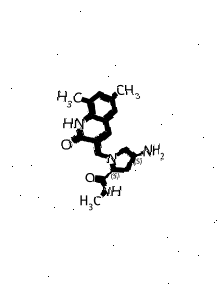 CNC(=O)[C@@H]1C[C@H](N)CN1Cc1cc2cc(C)cc(C)c2[nH]c1=O